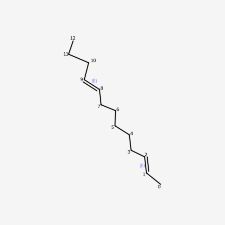 C/C=C/CCCCC/C=C/CCC